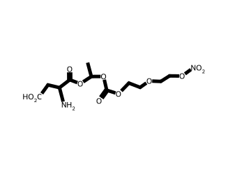 CC(OC(=O)OCCOCCO[N+](=O)[O-])OC(=O)C(N)CC(=O)O